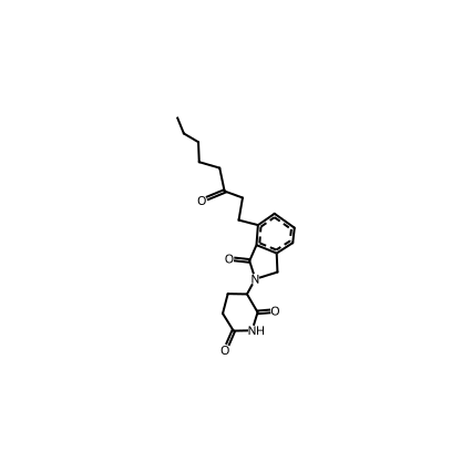 CCCCCC(=O)CCc1cccc2c1C(=O)N(C1CCC(=O)NC1=O)C2